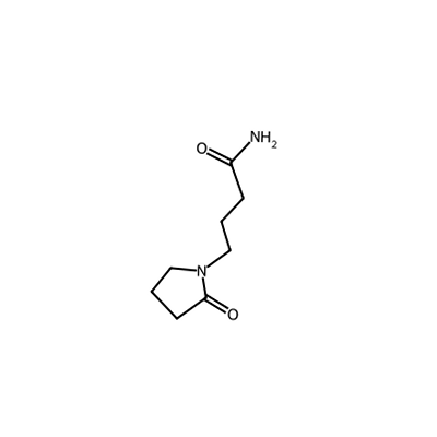 NC(=O)CCCN1CCCC1=O